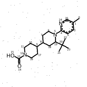 Cc1ccc(N2CCC(C3CCN(C(=O)O)CC3)CC2C(C)(C)C)nc1